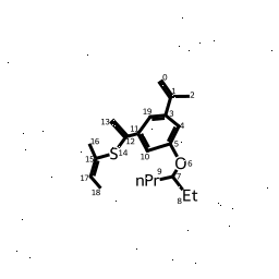 C=C(C)c1cc(OC(CC)CCC)cc(C(=C)S/C(C)=C\C)c1